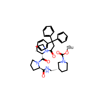 CC(C)(C)OC(=O)N1CCC[C@H](CNC(=O)[C@H]2CCCN2C(=O)[C@@H]2[CH][CH]CN2C(=O)CC(c2ccccc2)(c2ccccc2)c2ccccc2)C1